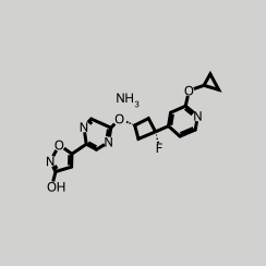 N.Oc1cc(-c2cnc(O[C@H]3C[C@](F)(c4ccnc(OC5CC5)c4)C3)cn2)on1